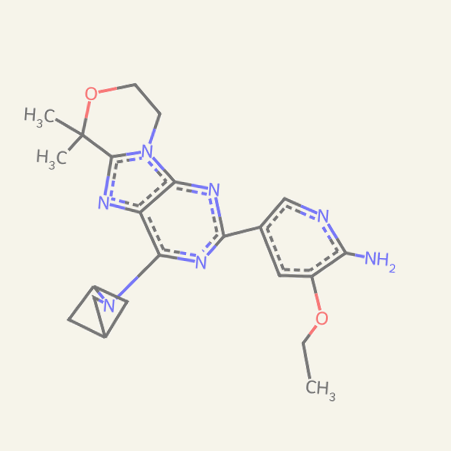 CCOc1cc(-c2nc(N3CC4CC3C4)c3nc4n(c3n2)CCOC4(C)C)cnc1N